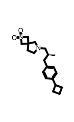 C[C@@H](Cc1ccc(C2CCC2)cc1)CN1CCC2(C1)CS(=O)(=O)C2